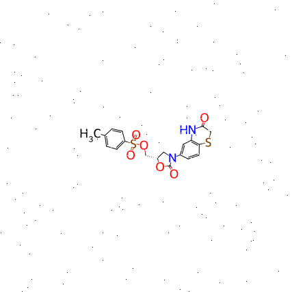 Cc1ccc(S(=O)(=O)OC[C@@H]2CN(c3ccc4c(c3)NC(=O)CS4)C(=O)O2)cc1